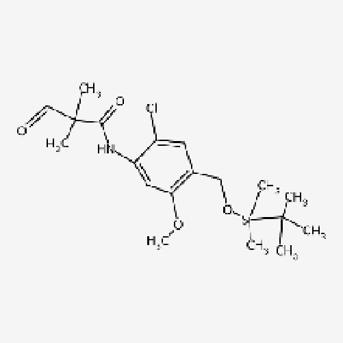 COc1cc(NC(=O)C(C)(C)C=O)c(Cl)cc1CO[Si](C)(C)C(C)(C)C